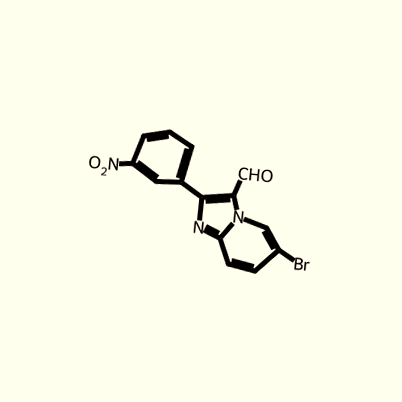 O=Cc1c(-c2cccc([N+](=O)[O-])c2)nc2ccc(Br)cn12